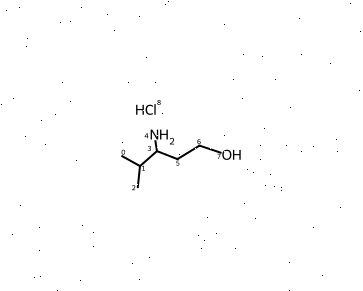 CC(C)C(N)CCO.Cl